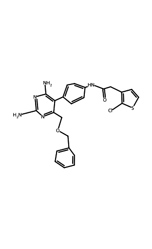 Nc1nc(N)c(-c2ccc(NC(=O)Cc3ccsc3Cl)cc2)c(COCc2ccccc2)n1